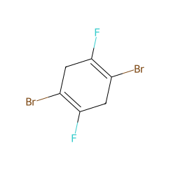 FC1=C(Br)CC(F)=C(Br)C1